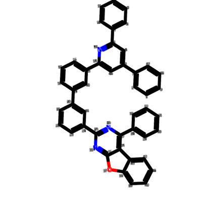 c1ccc(-c2cc(-c3ccccc3)nc(-c3cccc(-c4cccc(-c5nc(-c6ccccc6)c6c(n5)oc5ccccc56)c4)c3)c2)cc1